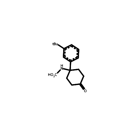 CC(C)(C)c1cccc(C2(NC(=O)O)CCC(=O)CC2)c1